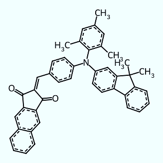 Cc1cc(C)c(N(c2ccc(C=C3C(=O)c4cc5ccccc5cc4C3=O)cc2)c2ccc3c(c2)C(C)(C)c2ccccc2-3)c(C)c1